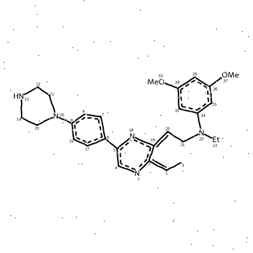 C/C=c1/ncc(-c2ccc(N3CCNCC3)cc2)n/c1=C/CN(CC)c1cc(OC)cc(OC)c1